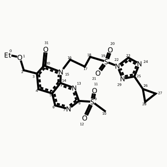 CCOCc1cc2cnc(S(C)(=O)=O)nc2n(CCCS(=O)(=O)n2cnc(C3CC3)n2)c1=O